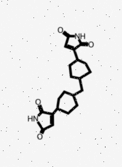 O=C1C=C(C2CCC(CC3CCC(C4=CC(=O)NC4=O)CC3)CC2)C(=O)N1